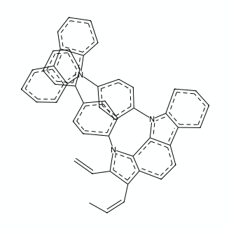 C=Cc1c(/C=C\C)c2ccc3c4ccccc4n(-c4ccc(-n5c6ccccc6c6ccccc65)cc4)c3c2n1-c1ccc(-c2ccccc2)cc1